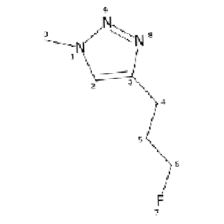 Cn1cc(CCCF)nn1